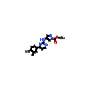 CCc1ccc(-c2ccnc(Nc3cnn(C(=O)OC(C)(C)C)c3)n2)cc1C